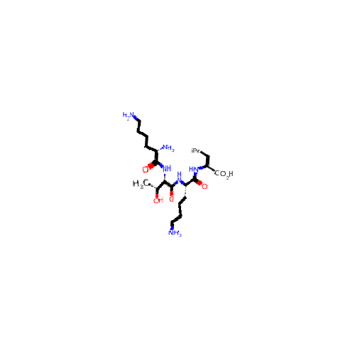 CC(C)C[C@H](NC(=O)[C@H](CCCCN)NC(=O)[C@@H](NC(=O)[C@@H](N)CCCCN)[C@@H](C)O)C(=O)O